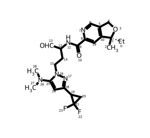 CC[C@@]1(C)OCc2cnc(C(=O)NC(C=O)CCn3nc(C4CC4(F)F)cc3N(C)C)cc21